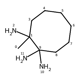 CC1(N)CCCCCCC1(N)N